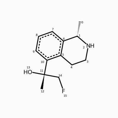 C[C@@H]1NCCc2c1cccc2[C@@](C)(O)CF